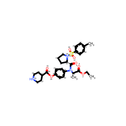 CCOC(=O)[C@H](C)N(C(=O)[C@@H]1CCCN1S(=O)(=O)c1ccc(C)cc1)c1ccc(OC(=O)C2CCNCC2)cc1